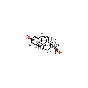 C[C@]12CC[C@H]3[C@@H](C=CC4=CC(=O)C=C[C@@H]43)[C@@H]1CCC2O